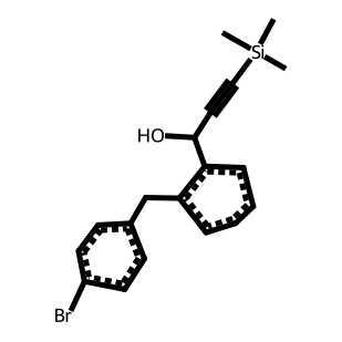 C[Si](C)(C)C#CC(O)c1ccccc1Cc1ccc(Br)cc1